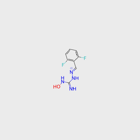 N=C(NO)N/N=C/c1c(F)cccc1F